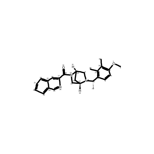 COc1ccc([C@H](C)N2C[C@@H]3C[C@H]2CN3C(=O)c2cc3ccccc3cn2)c(C)c1C